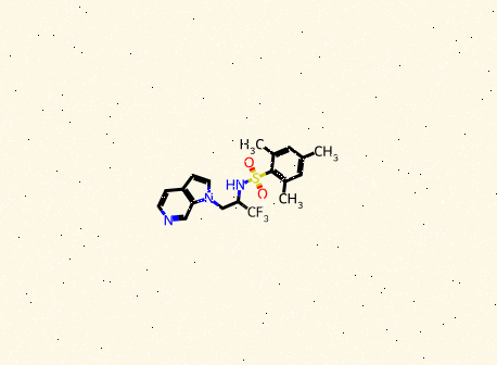 Cc1cc(C)c(S(=O)(=O)NC(Cn2ccc3ccncc32)C(F)(F)F)c(C)c1